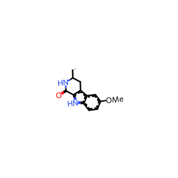 [CH2]C1Cc2c([nH]c3ccc(OC)cc23)C(=O)N1